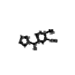 O=Cc1cc(C(=O)c2cccs2)ccc1[N+](=O)[O-]